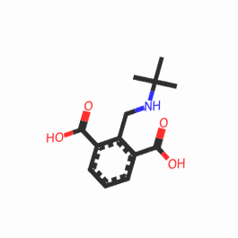 CC(C)(C)NCc1c(C(=O)O)cccc1C(=O)O